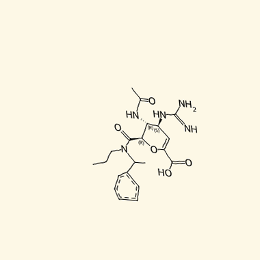 CCCN(C(=O)[C@@H]1OC(C(=O)O)=C[C@H](NC(=N)N)[C@H]1NC(C)=O)C(C)c1ccccc1